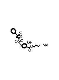 COCCCOC(=O)c1ccc(NS(=O)(=O)c2cc(-c3ccccc3)c(Cl)s2)cc1O